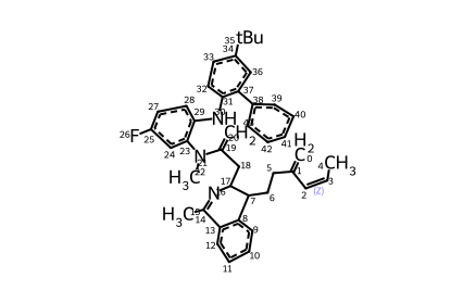 C=C(/C=C\C)CCC1c2ccccc2C(C)=NC1CC(=C)N(C)c1cc(F)ccc1Nc1ccc(C(C)(C)C)cc1-c1ccccc1